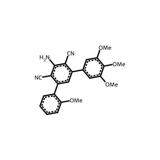 COc1ccccc1-c1cc(-c2cc(OC)c(OC)c(OC)c2)c(C#N)c(N)c1C#N